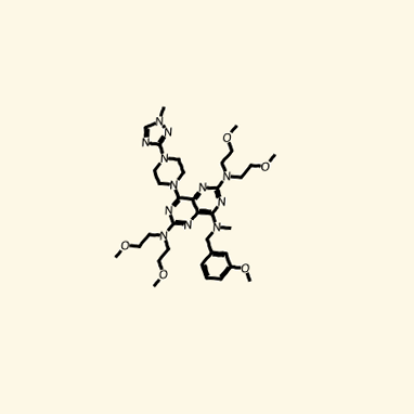 COCCN(CCOC)c1nc(N2CCN(c3ncn(C)n3)CC2)c2nc(N(CCOC)CCOC)nc(N(C)Cc3cccc(OC)c3)c2n1